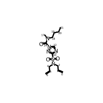 C=CCN(CC=C)S(=O)(=O)c1ncn(C(=O)N(C)CCCC)n1